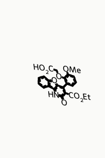 CCOC(=O)c1c(-c2cccc(OC)c2OCC(=O)O)c2oc3ccccc3c2[nH]c1=O